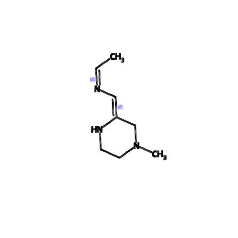 C/C=N\C=C1\CN(C)CCN1